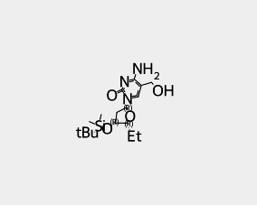 CC[C@H]1O[C@@H](n2cc(CO)c(N)nc2=O)C[C@H]1O[Si](C)(C)C(C)(C)C